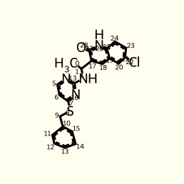 CC(Nc1nccc(SCc2ccccc2)n1)c1cc2cc(Cl)ccc2[nH]c1=O